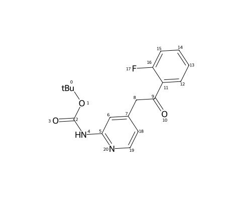 CC(C)(C)OC(=O)Nc1cc(CC(=O)c2ccccc2F)ccn1